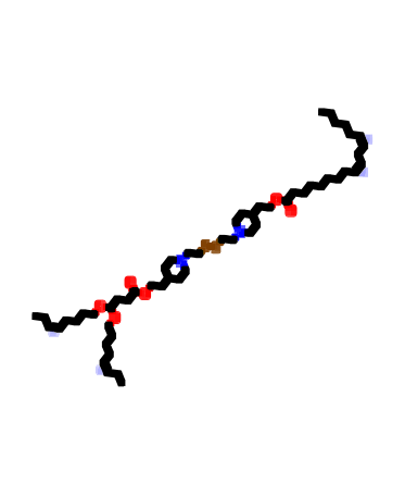 CC/C=C\CCCCOC(CCC(=O)OCCC1CCN(CCSSCCN2CCC(CCOC(=O)CCCCCCC/C=C\C/C=C\CCCCC)CC2)CC1)OCCCC/C=C\CC